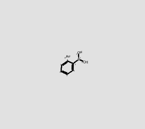 OB(O)c1ccccc1.[Au]